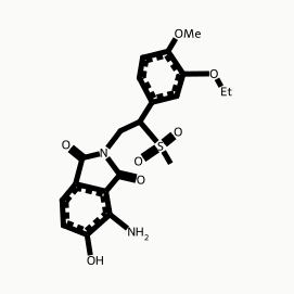 CCOc1cc(C(CN2C(=O)c3ccc(O)c(N)c3C2=O)S(C)(=O)=O)ccc1OC